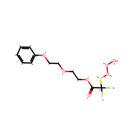 O=C(OCCOCCOc1ccccc1)C(F)(F)SOOO